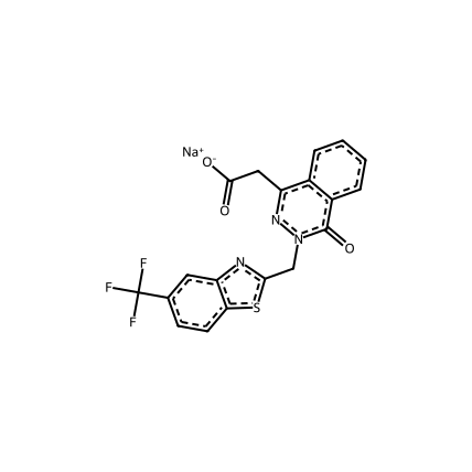 O=C([O-])Cc1nn(Cc2nc3cc(C(F)(F)F)ccc3s2)c(=O)c2ccccc12.[Na+]